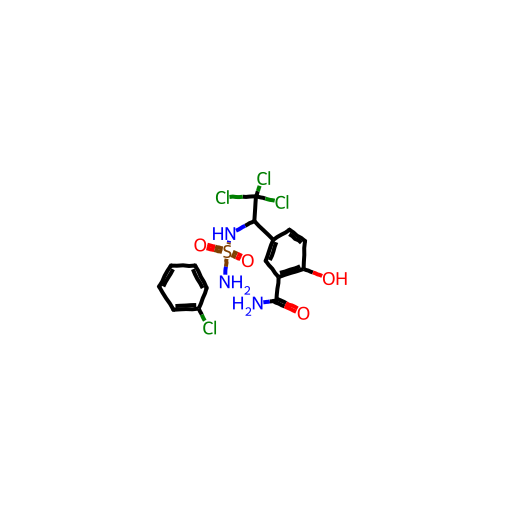 Clc1ccccc1.NC(=O)c1cc(C(NS(N)(=O)=O)C(Cl)(Cl)Cl)ccc1O